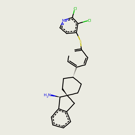 C=C(/C=C\C(=C/C)[C@H]1CC[C@@]2(CC1)Cc1ccccc1[C@H]2N)Sc1ccnc(Cl)c1Cl